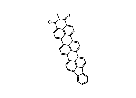 CN1C(=O)c2ccc3c4ccc5c6ccc7c8c(ccc(c9ccc(c%10ccc(c2c3%10)C1=O)c4c59)c86)-c1ccccc1-7